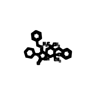 CC1(C)CC2(CC(C)(C)N1Cc1ccccc1)NC(=O)N(C1CCCCC1)C2=NCc1ccccc1